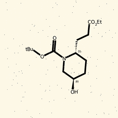 CCOC(=O)CC[C@@H]1CC[C@@H](O)CN1C(=O)OC(C)(C)C